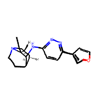 C[C@@H]1[C@@H](Nc2ccc(-c3ccoc3)nn2)C2CCN1CC2